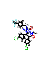 CCn1c(=O)c(-c2ccc(Cl)cc2)c(-c2ccc(Cl)cc2)c2nn(Cc3ccc(C(F)(F)F)cc3)c(=O)n21